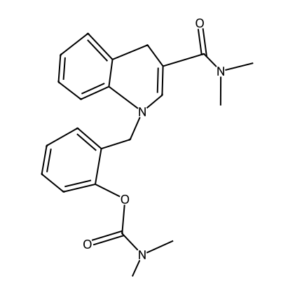 CN(C)C(=O)Oc1ccccc1CN1C=C(C(=O)N(C)C)Cc2ccccc21